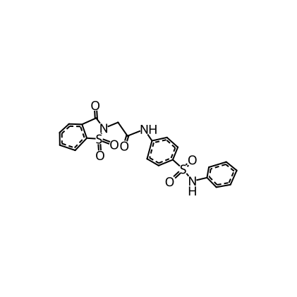 O=C(CN1C(=O)c2ccccc2S1(=O)=O)Nc1ccc(S(=O)(=O)Nc2ccccc2)cc1